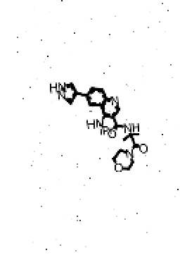 CC(C)Nc1c(C(=O)NC(C)(C)C(=O)N2CCOCC2)cnc2ccc(-c3cn[nH]c3)cc12